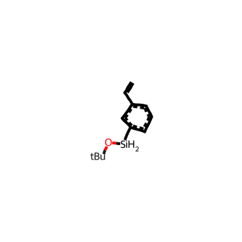 C=Cc1cccc([SiH2]OC(C)(C)C)c1